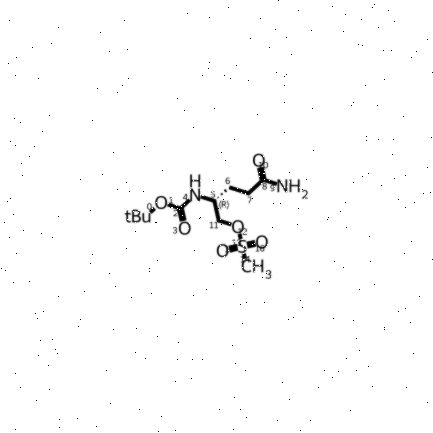 CC(C)(C)OC(=O)N[C@H](CCC(N)=O)COS(C)(=O)=O